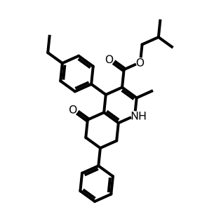 CCc1ccc(C2C(C(=O)OCC(C)C)=C(C)NC3=C2C(=O)CC(c2ccccc2)C3)cc1